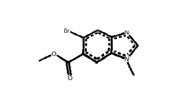 COC(=O)c1cc2c(cc1Br)ncn2C